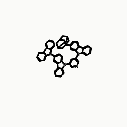 c1ccc2c(c1)c1ccccc1n2-c1ccc2c(c1)c1ccccc1n2-c1cncc(-n2c3ccccc3c3ccc(C45CC6CC(CC(C6)C4)C5)cc32)c1